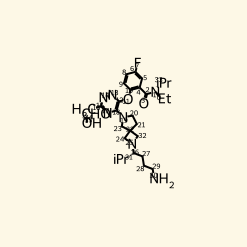 CCN(C(=O)c1cc(F)ccc1Oc1nnc(C)nc1N1CCC2(C1)CN([C@H](CCCN)C(C)C)C2)C(C)C.O=CO